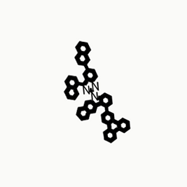 c1ccc2cc(-c3ccc4nc(-n5c6cc7ccccc7cc6c6c(-c7ccc8c9ccccc9c9ccccc9c8c7)cccc65)nc(-c5cccc6ccccc56)c4c3)ccc2c1